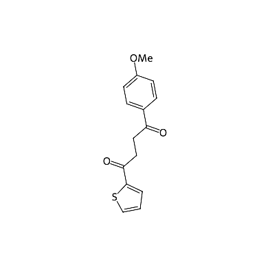 COc1ccc(C(=O)CCC(=O)c2cccs2)cc1